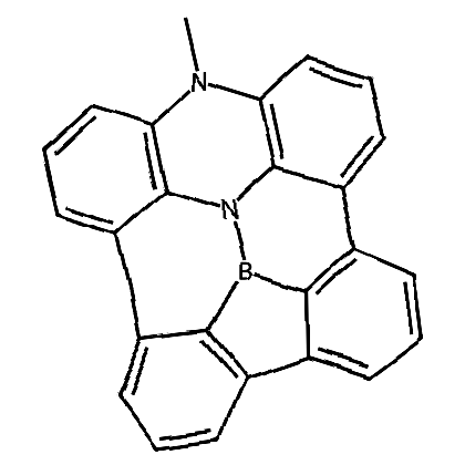 CN1c2cccc3c2N2B4c5c(cccc5-3)-c3cccc(c34)-c3cccc1c32